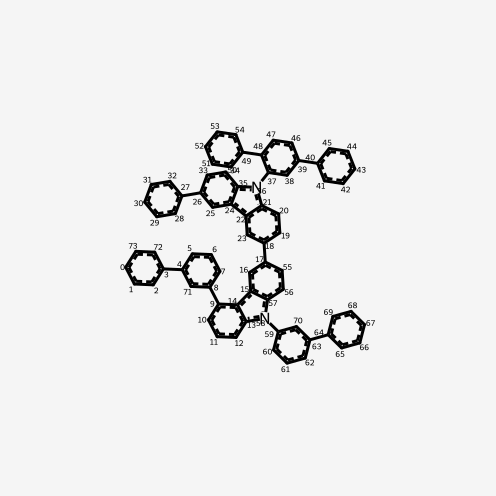 c1ccc(-c2cccc(-c3cccc4c3c3cc(-c5ccc6c(c5)c5cc(-c7ccccc7)ccc5n6-c5cc(-c6ccccc6)ccc5-c5ccccc5)ccc3n4-c3cccc(-c4ccccc4)c3)c2)cc1